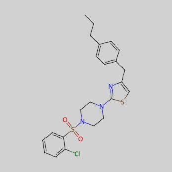 CCCc1ccc(Cc2csc(N3CCN(S(=O)(=O)c4ccccc4Cl)CC3)n2)cc1